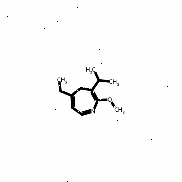 CCC1=CC=NC(OC)=C(C(C)C)C1